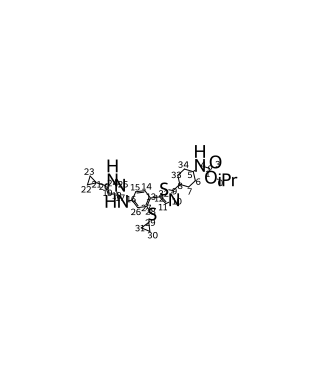 CC(C)OC(=O)NC1CCC(c2ncc(-c3ccc(Nc4cc(C5CC5)[nH]n4)cc3SC3CC3)s2)CC1